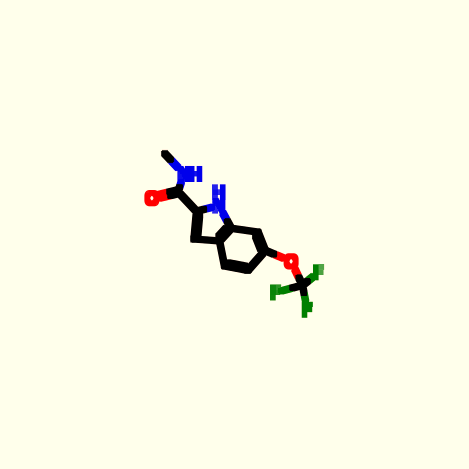 CNC(=O)c1cc2ccc(OC(F)(F)F)cc2[nH]1